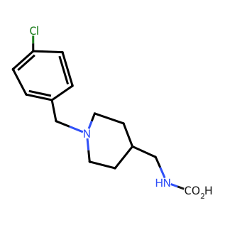 O=C(O)NCC1CCN(Cc2ccc(Cl)cc2)CC1